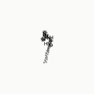 CCCCCCCCCCCCCCCC(=O)NCCN(C)CCNc1cc(N2CCCC2)nc(N2CCCC2)n1